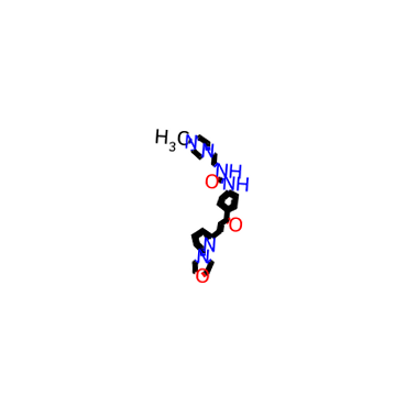 CN1CCN(CCNC(=O)Nc2ccc(C(=O)/C=C/c3cccc(N4CCOCC4)n3)cc2)CC1